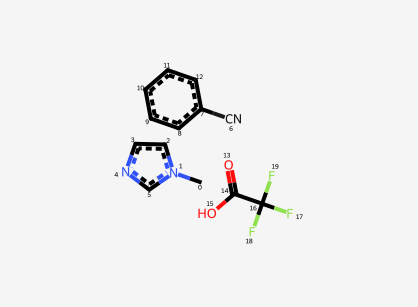 Cn1ccnc1.N#Cc1ccccc1.O=C(O)C(F)(F)F